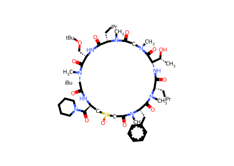 CC[C@H](C)[C@H]1C(=O)N[C@H](C(=O)N2CCCCC2)C[S+]([O-])CC(=O)N(C)[C@@H](Cc2ccccc2)C(=O)N(C)[C@@H](CC(C)C)C(=O)N[C@@H]([C@@H](C)O)C(=O)N(C)CC(=O)N(C)[C@@H](CC(C)C)C(=O)N[C@@H](COC(C)(C)C)C(=O)N1C